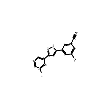 N#Cc1cc(Cl)cc(-c2cc(-c3cncc(F)c3)no2)c1